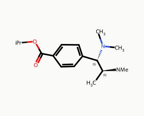 CN[C@@H](C)[C@H](c1ccc(C(=O)OC(C)C)cc1)N(C)C